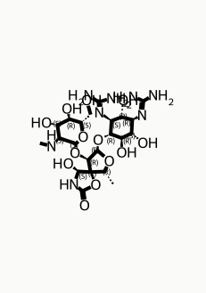 CN[C@@H]1[C@H](O[C@H]2[C@H](O[C@H]3[C@H](O)[C@@H](O)[C@H](N=C(N)N)[C@@H](O)[C@@H]3N=C(N)N)O[C@H](C)[C@@]23OC(=O)N[C@H]3O)O[C@@H](CO)[C@H](O)[C@H]1O